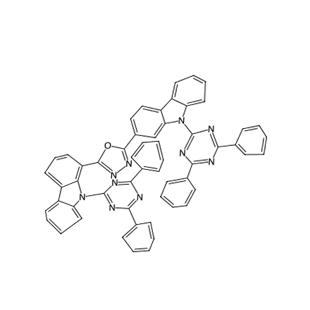 c1ccc(-c2nc(-c3ccccc3)nc(-n3c4ccccc4c4ccc(-c5nnc(-c6cccc7c8ccccc8n(-c8nc(-c9ccccc9)nc(-c9ccccc9)n8)c67)o5)cc43)n2)cc1